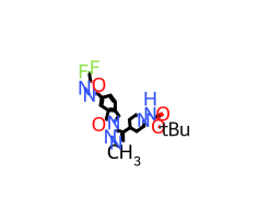 Cn1cc(C2CCN(NC(=O)OC(C)(C)C)CC2)c(N2Cc3ccc(-c4nnc(C(F)F)o4)cc3C2=O)n1